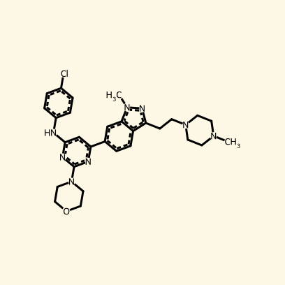 CN1CCN(CCc2nn(C)c3cc(-c4cc(Nc5ccc(Cl)cc5)nc(N5CCOCC5)n4)ccc23)CC1